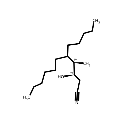 CCCCCCC(CCCCC)[C@@H](C)[C@H](O)CC#N